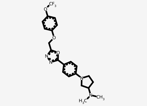 CN(C)C1CCN(c2ccc(-c3nnc(COc4ccc(OC(F)(F)F)cc4)o3)cc2)C1